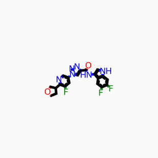 O=C(Nc1c[nH]c2cc(F)c(F)cc12)c1cn(-c2cnc(C3CCOC3)c(F)c2)nn1